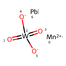 [Mn+2].[O]=[W](=[O])([O-])[O-].[Pb]